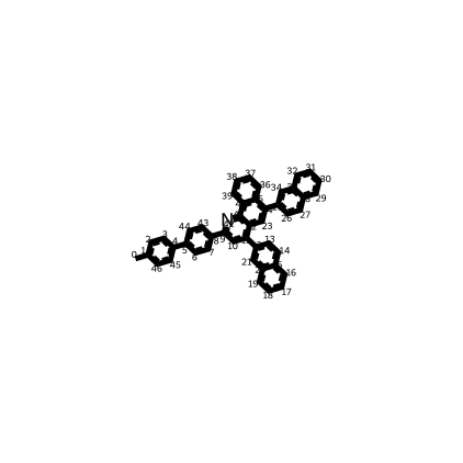 Cc1ccc(-c2ccc(-c3cc(-c4ccc5ccccc5c4)c4cc(-c5ccc6ccccc6c5)c5ccccc5c4n3)cc2)cc1